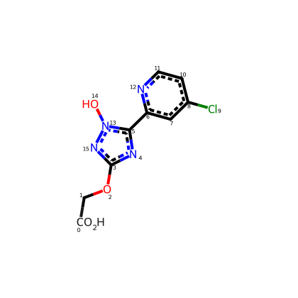 O=C(O)COc1nc(-c2cc(Cl)ccn2)n(O)n1